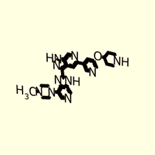 CN1CCN(c2cncc3[nH]c(-c4n[nH]c5cnc(-c6cncc(OC7CCNCC7)c6)cc45)nc23)CC1